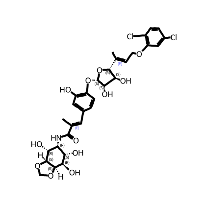 C/C(=C\c1ccc(O[C@@H]2O[C@H](/C(C)=C/COc3cc(Cl)ccc3Cl)[C@@H](O)[C@@H]2O)c(O)c1)C(=O)N[C@@H]1[C@H](O)[C@@H](O)[C@H]2OCO[C@H]2[C@@H]1O